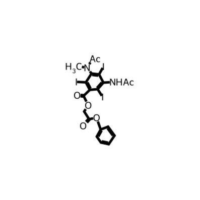 CC(=O)Nc1c(I)c(C(=O)OCC(=O)Oc2ccccc2)c(I)c(N(C)C(C)=O)c1I